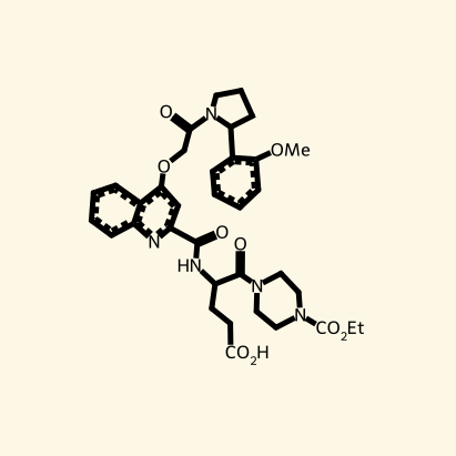 CCOC(=O)N1CCN(C(=O)C(CCC(=O)O)NC(=O)c2cc(OCC(=O)N3CCCC3c3ccccc3OC)c3ccccc3n2)CC1